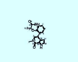 Cn1cc(-c2cccc3c2OC(I)C(=O)N3)c2cc[nH]c2c1=O